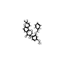 CCOc1ccc(C2(O)COc3c(ccc4c3C=CC(C)(C)O4)C2=O)c(OCc2ccccc2)c1